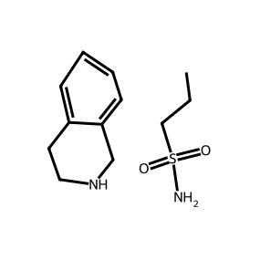 CCCS(N)(=O)=O.c1ccc2c(c1)CCNC2